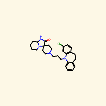 O=C1NC2CCCCN2C12CCN(CCCN1c3ccccc3CCc3ccc(Cl)cc31)CC2